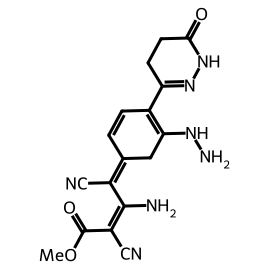 COC(=O)C(C#N)=C(N)C(C#N)=C1C=CC(C2=NNC(=O)CC2)=C(NN)C1